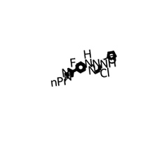 CCCn1cc(-c2ccc(Nc3ncc(Cl)c(NC[C@H]4CCCO4)n3)cc2F)cn1